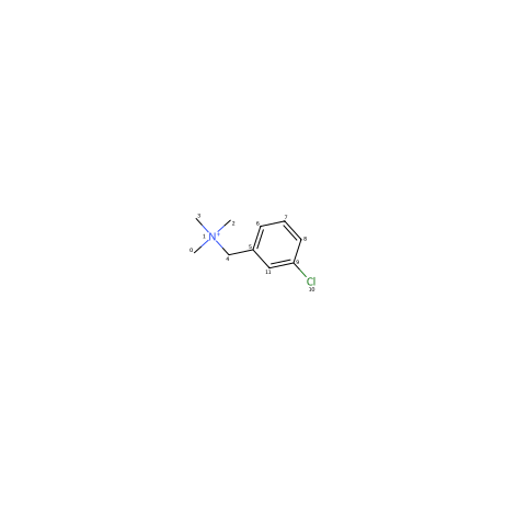 C[N+](C)(C)Cc1cccc(Cl)c1